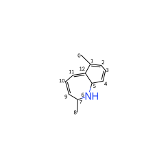 CC1=CC=CC2NC(C)C=CC=C12